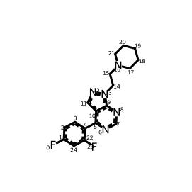 Fc1ccc(-c2ncnc3c2cnn3CCN2CCCCC2)c(F)c1